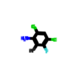 CC(C)c1c(N)c(Cl)cc(Cl)c1F